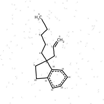 C=CCC1(CCCCC)CCc2ccccc21